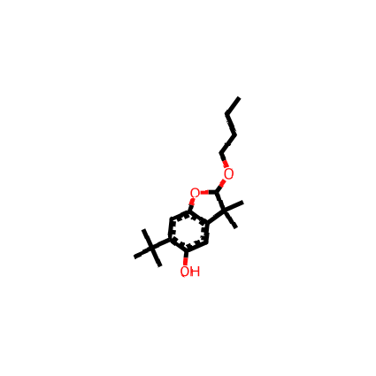 CCCCOC1Oc2cc(C(C)(C)C)c(O)cc2C1(C)C